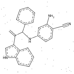 C=C(c1c[nH]c2ccccc12)C(Nc1ccc(C#N)c(N)c1)c1ccccc1